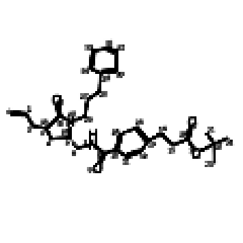 C=CC[C@@H]1C[C@@H](CNC(=O)c2ccc(CCC(=O)OC(C)(C)C)cc2)N(CCCc2ccccc2)C1=O